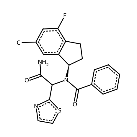 NC(=O)C(c1nccs1)N(C(=O)c1ccccc1)[C@@H]1CCc2c(F)cc(Cl)cc21